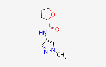 Cn1cc(NC(=O)[C@@H]2CCCO2)cn1